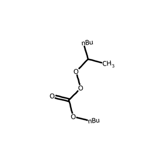 CCCCOC(=O)OOC(C)CCCC